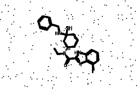 CCN(C(=O)c1nc2c(F)cccc2[nH]1)[C@H]1CCCC(S)(NCc2ccccc2)C1